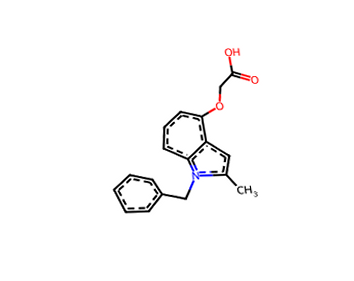 Cc1cc2c(OCC(=O)O)cccc2n1Cc1ccccc1